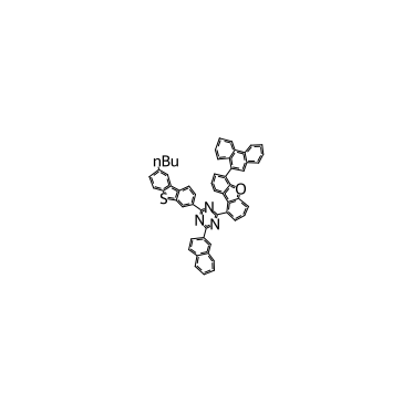 CCCCc1ccc2sc3cc(-c4nc(-c5ccc6ccccc6c5)nc(-c5cccc6oc7c(-c8cc9ccccc9c9ccccc89)cccc7c56)n4)ccc3c2c1